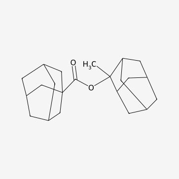 CC1(OC(=O)C23CC4CC(CC(C4)C2)C3)C2CC3CC(C2)CC1C3